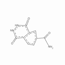 NC(=O)c1ccc2c(=O)[nH][nH]c(=O)c2c1